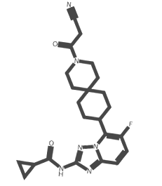 N#CCC(=O)N1CCC2(CCC(c3c(F)ccc4nc(NC(=O)C5CC5)nn34)CC2)CC1